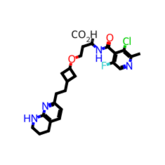 Cc1ncc(F)c(C(=O)NC(CCOC2CC(CCc3ccc4c(n3)NCCC4)C2)C(=O)O)c1Cl